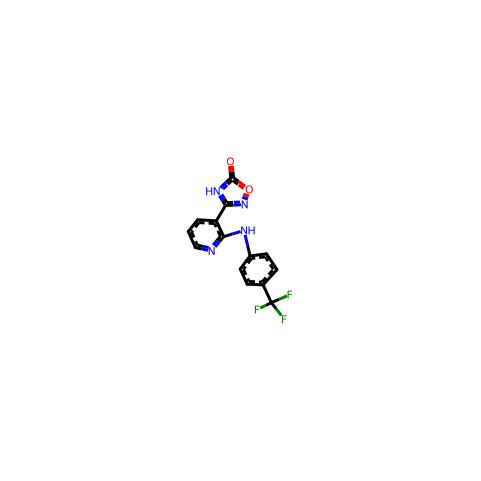 O=c1[nH]c(-c2cccnc2Nc2ccc(C(F)(F)F)cc2)no1